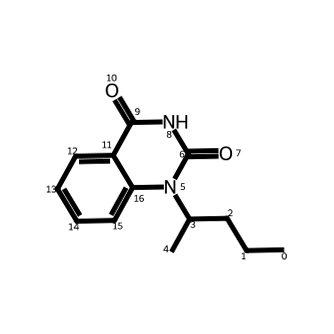 CCCC(C)n1c(=O)[nH]c(=O)c2ccccc21